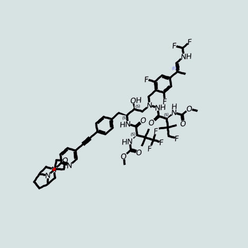 COC(=O)N[C@H](C(=O)NN(Cc1c(F)cc(/C(C)=C/NC(F)F)cc1F)C[C@H](O)[C@H](Cc1ccc(C#Cc2ccc(N3CC4CCC(C3)N4C3COC3)nc2)cc1)NC(=O)[C@@H](NC(=O)OC)C(C)(C)C(F)(F)F)C(C)(C)CF